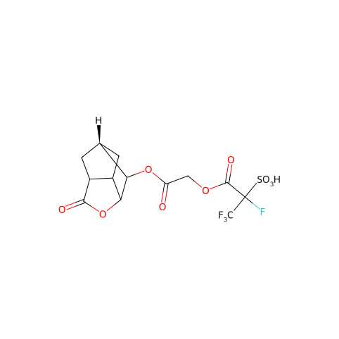 O=C(COC(=O)C(F)(C(F)(F)F)S(=O)(=O)O)OC1C2OC(=O)C3C[C@@H]1CC32